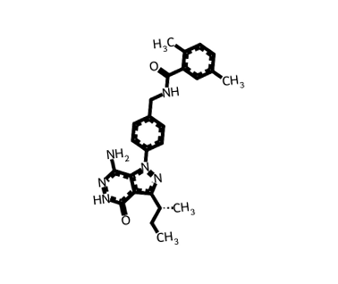 CC[C@@H](C)c1nn(-c2ccc(CNC(=O)c3cc(C)ccc3C)cc2)c2c(N)n[nH]c(=O)c12